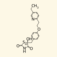 CCc1ccc(CCOc2ccc(C[C@@]3(O)SC(=O)NC3=O)cc2)nc1